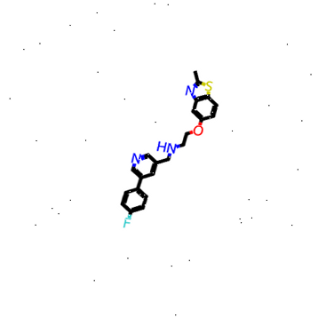 Cc1nc2cc(OCCNCc3cncc(-c4ccc(F)cc4)c3)ccc2s1